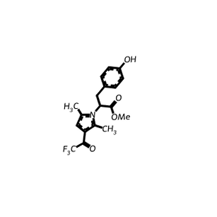 COC(=O)C(Cc1ccc(O)cc1)n1c(C)cc(C(=O)C(F)(F)F)c1C